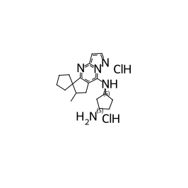 CC1Cc2c(nc3ccnn3c2N[C@H]2CC[C@H](N)C2)C12CCCC2.Cl.Cl